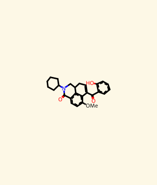 COc1ccc2c3c1C(C(=O)c1ccccc1O)=CCC3CN(C1CCCCC1)C2=O